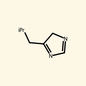 CC(C)CC1=NC=NC1